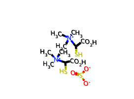 C[N+](C)(C)C(S)C(=O)O.C[N+](C)(C)C(S)C(=O)O.O=S([O-])[O-]